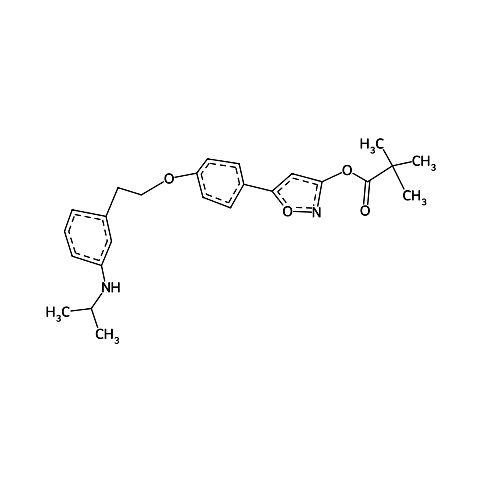 CC(C)Nc1cccc(CCOc2ccc(-c3cc(OC(=O)C(C)(C)C)no3)cc2)c1